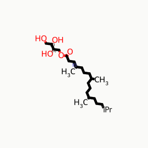 C/C(=C\CC(=O)OC[C@H](O)[C@H](O)CO)CCCC(C)CCCC(C)CCCC(C)C